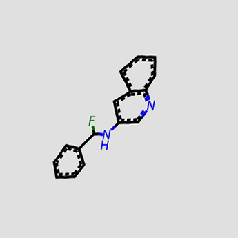 FC(Nc1cnc2ccccc2c1)c1ccccc1